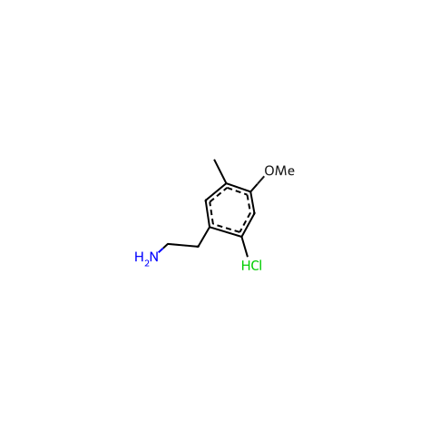 COc1cc(C)c(CCN)cc1C.Cl